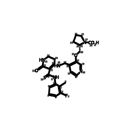 Cc1c(F)cccc1NC(=S)C1=C(NCc2ccncc2OC[C@@H]2CCCN2C(=O)O)CCNC1=O